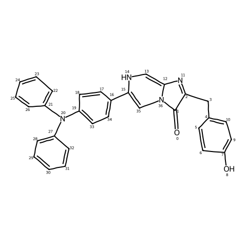 O=c1c(Cc2ccc(O)cc2)nc2c[nH]c(-c3ccc(N(c4ccccc4)c4ccccc4)cc3)cn1-2